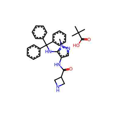 CC(C)(C)C(=O)O.Cn1ncc(NC(=O)C2CNC2)c1NC(c1ccccc1)(c1ccccc1)c1ccccc1